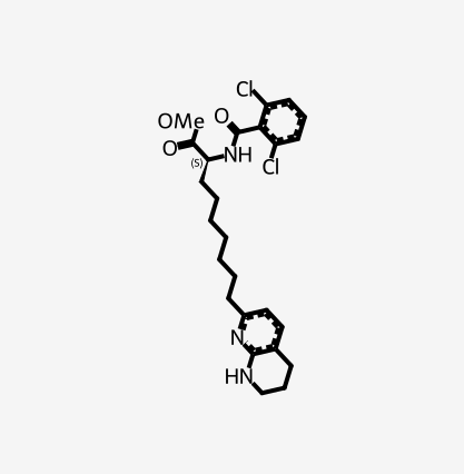 COC(=O)[C@H](CCCCCCCc1ccc2c(n1)NCCC2)NC(=O)c1c(Cl)cccc1Cl